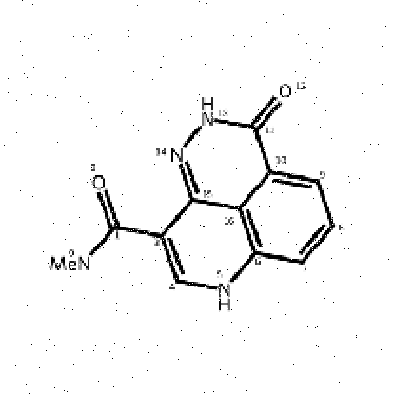 CNC(=O)C1=CNc2cccc3c(=O)[nH]nc1c23